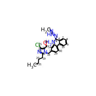 C=NN/N=C(\N)c1ccccc1-c1ccc(Cn2c(CCCC)nc(Cl)c2C=O)cc1